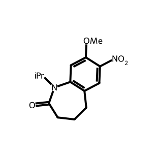 COc1cc2c(cc1[N+](=O)[O-])CCCC(=O)N2C(C)C